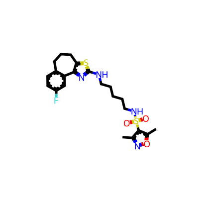 Cc1noc(C)c1S(=O)(=O)NCCCCCNc1nc2c(s1)CCCc1ccc(F)cc1-2